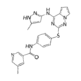 Cc1cncc(C(=O)Nc2ccc(Sc3nc(Nc4cc(C)[nH]n4)c4cccn4n3)cc2)c1